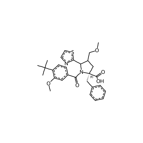 COCC1C[C@@](Cc2ccccc2)(C(=O)O)N(C(=O)c2ccc(C(C)(C)C)c(OC)c2)C1c1nccs1